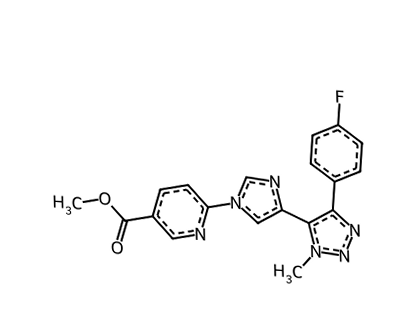 COC(=O)c1ccc(-n2cnc(-c3c(-c4ccc(F)cc4)nnn3C)c2)nc1